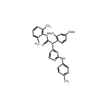 COc1ccc(N(C(=O)Oc2c(C)cccc2C)c2ccnc(Nc3ccc(C)nc3)n2)c(OC)c1